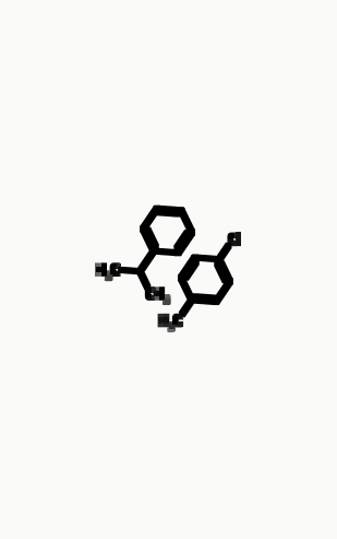 CC(C)c1ccccc1.Cc1ccc(Cl)cc1